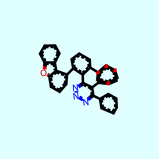 c1ccc(-c2cccc(-c3cccc4oc5ccccc5c34)c2-c2nnnc(-c3ccccc3)c2-c2ccccc2)cc1